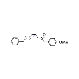 COc1ccc(C[S+]([O-])C/C=C\SSCc2ccccc2)cc1